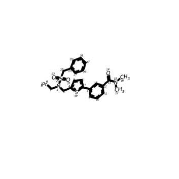 CC(C)CN(Cc1ccc(-c2cccc(C(=O)N(C)C)c2)s1)S(=O)(=O)Cc1ccccc1